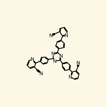 N#Cc1cccnc1-c1ccc(-c2nc(-c3ccc(-c4ncccc4C#N)cc3)nc(-c3ccc(-c4ncccc4C#N)cc3)n2)cc1